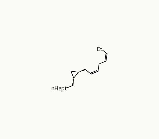 CC/C=C\C/C=C\C[C@@H]1C[C@@H]1CCCCCCCC